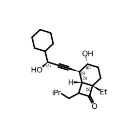 CC[C@]12CC[C@@H](O)[C@H](C#C[C@@H](O)C3CCCCC3)[C@H]1C(CC(C)C)C2=O